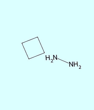 C1CCC1.NN